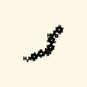 Nc1ccc(N2CCN(c3cnc4ccc(-c5ccc(NC(=O)Cc6ccccc6)cc5)cc4n3)CC2)cc1